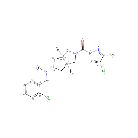 CC(=O)c1nn(C(=O)N2C[C@H]3C[C@H](N(C)Cc4ccccc4Cl)C[C@H]3C2)cc1Cl